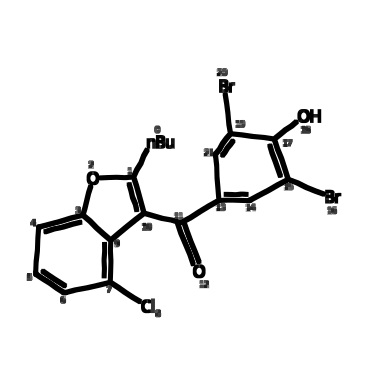 CCCCc1oc2cccc(Cl)c2c1C(=O)c1cc(Br)c(O)c(Br)c1